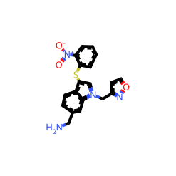 NCc1ccc2c(Sc3ccccc3[N+](=O)[O-])cn(Cc3ccon3)c2c1